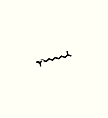 C=C(C)NCCCCCCCC(C)C